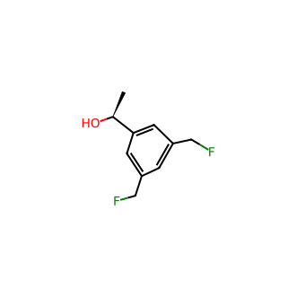 C[C@H](O)c1cc(CF)cc(CF)c1